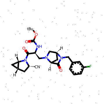 CC(C)(C)OC(=O)N[C@@H](CN1C[C@@H]2C[C@H]1C(=O)N2Cc1cccc(F)c1)C(=O)N1[C@H](C#N)C[C@@H]2C[C@@H]21